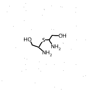 NC(CO)SC(N)CO